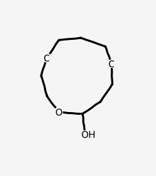 OC1CCCCCCCCCO1